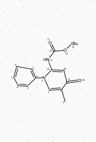 Cc1cn(-c2ccccc2)c(NC(=O)OC(C)(C)C)cc1=O